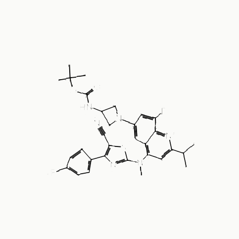 CC(C)c1cc(N(C)c2nc(-c3ccc(F)cc3)c(C#N)s2)c2cc(N3CC(NC(=O)OC(C)(C)C)C3)cc(F)c2n1